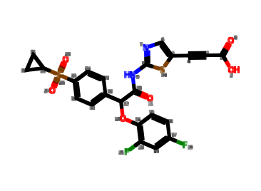 O=C(O)C#Cc1cnc(NC(=O)C(Oc2ccc(F)cc2F)c2ccc(S(=O)(=O)C3CC3)cc2)s1